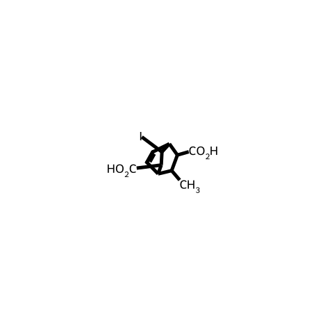 CC1C2C=CC(C(I)C2C(=O)O)C1C(=O)O